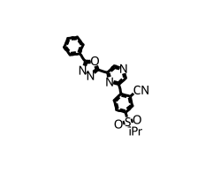 CC(C)S(=O)(=O)c1ccc(-c2cncc(-c3nnc(-c4ccccc4)o3)n2)c(C#N)c1